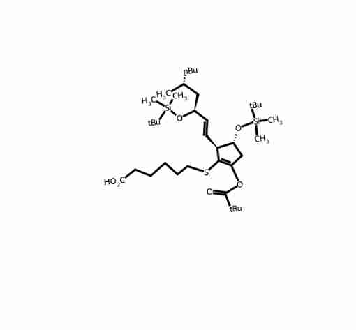 CCCC[C@@H](C)C[C@@H](/C=C/[C@@H]1C(SCCCCCC(=O)O)=C(OC(=O)C(C)(C)C)C[C@H]1O[Si](C)(C)C(C)(C)C)O[Si](C)(C)C(C)(C)C